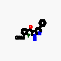 COc1cccc(C(=O)C2CNc3ncc(-c4ccccc4)cc32)c1F